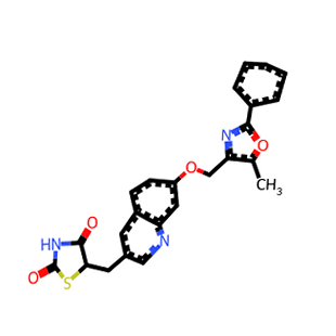 Cc1oc(-c2ccccc2)nc1COc1ccc2cc(CC3SC(=O)NC3=O)cnc2c1